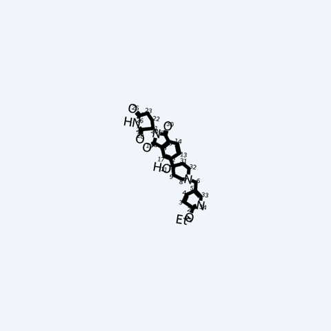 CCOc1ccc(CN2CCC(O)(c3ccc4c(c3)C(=O)N(C3CCC(=O)NC3=O)C4=O)CC2)cn1